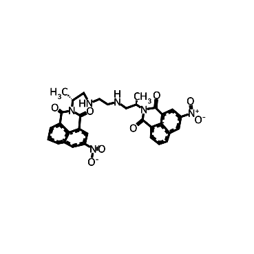 C[C@H](CNCCNC[C@@H](C)N1C(=O)c2cccc3cc([N+](=O)[O-])cc(c23)C1=O)N1C(=O)c2cccc3cc([N+](=O)[O-])cc(c23)C1=O